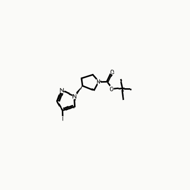 CC(C)(C)OC(=O)N1CC[C@H](n2cc(I)cn2)C1